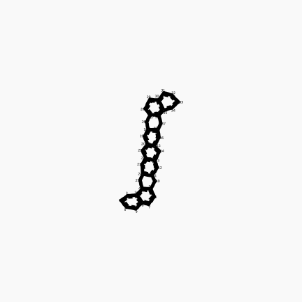 c1ccc2c3c(ccc2c1)Cc1cc2cc4cc5c(cc4cc2cc1C3)Cc1ccc2ccccc2c1C5